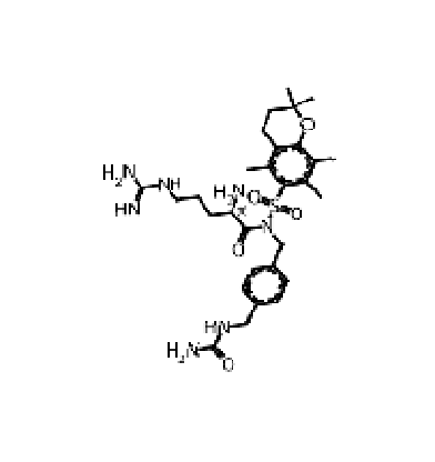 Cc1c(C)c(S(=O)(=O)N(Cc2ccc(CNC(N)=O)cc2)C(=O)[C@H](N)CCCNC(=N)N)c(C)c2c1OC(C)(C)CC2